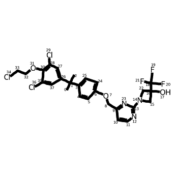 CC(C)(c1ccc(OCc2ccnc(N3CC(O)(C(F)(F)F)C3)n2)cc1)c1cc(Cl)c(OCCCl)c(Cl)c1